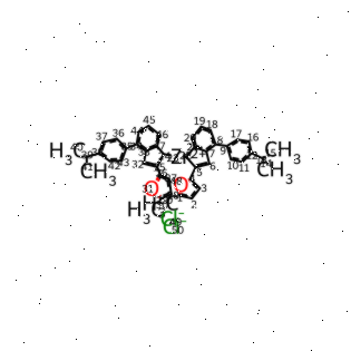 Cc1ccc(C2=Cc3c(-c4ccc(C(C)C)cc4)cccc3[CH]2[Zr+2][CH]2C(c3ccc(C)o3)=Cc3c(-c4ccc(C(C)C)cc4)cccc32)o1.[Cl-].[Cl-]